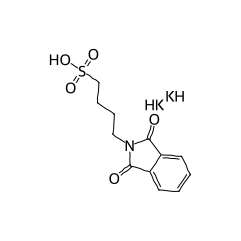 O=C1c2ccccc2C(=O)N1CCCCS(=O)(=O)O.[KH].[KH]